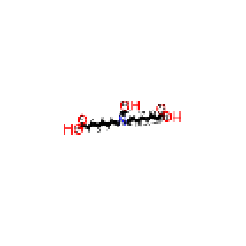 O=C(O)CCCCCCCN(CCO)CCCCCCCC(=O)O